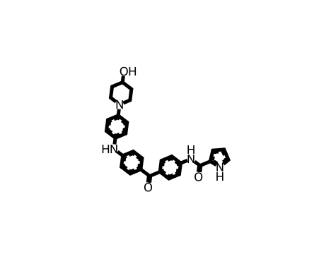 O=C(c1ccc(NC(=O)c2ccc[nH]2)cc1)c1ccc(Nc2ccc(N3CCC(O)CC3)cc2)cc1